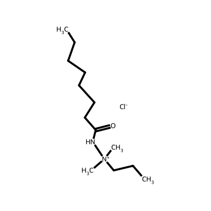 CCCCCCCC(=O)N[N+](C)(C)CCC.[Cl-]